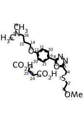 COCCSCc1nnc(-c2ccc(OCCCN(C)C)cc2)o1.O=C(O)/C=C\C(=O)O